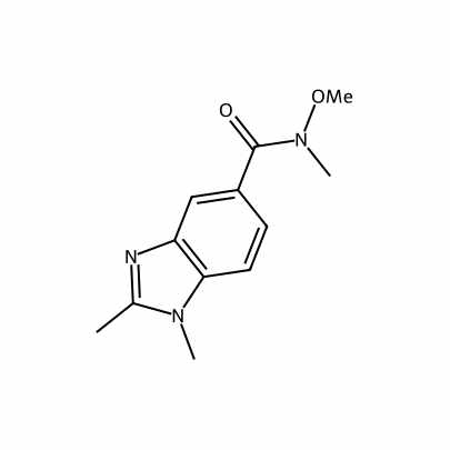 CON(C)C(=O)c1ccc2c(c1)nc(C)n2C